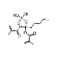 C=C(C)C(=O)OC(CCCCC)(OC(=O)C(=C)C)OP(=O)(O)O